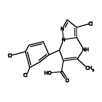 CC1=C(C(=O)O)C(c2ccc(Cl)c(Cl)c2)n2ncc(Cl)c2N1